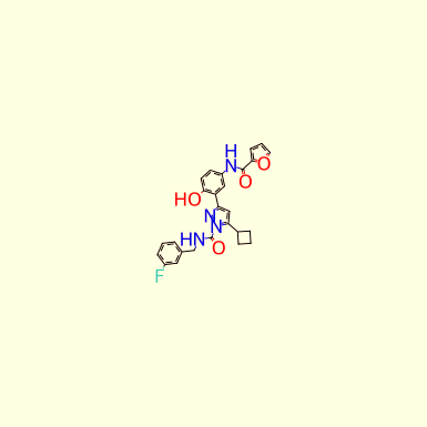 O=C(Nc1ccc(O)c(-c2cc(C3CCC3)n(C(=O)NCc3cccc(F)c3)n2)c1)c1ccco1